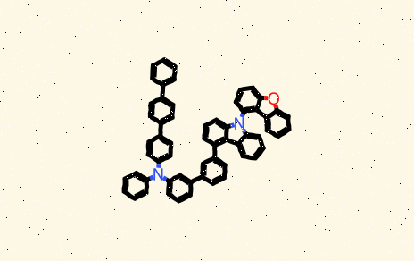 c1ccc(-c2ccc(-c3ccc(N(c4ccccc4)c4cccc(-c5cccc(-c6cccc7c6c6ccccc6n7-c6cccc7oc8ccccc8c67)c5)c4)cc3)cc2)cc1